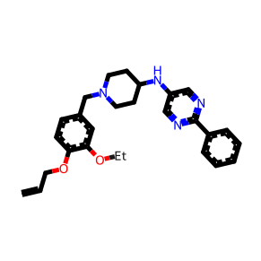 C=CCOc1ccc(CN2CCC(Nc3cnc(-c4ccccc4)nc3)CC2)cc1OCC